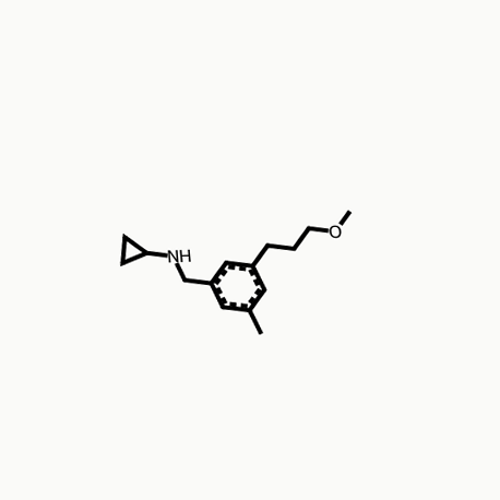 COCCCc1cc(C)cc(CNC2CC2)c1